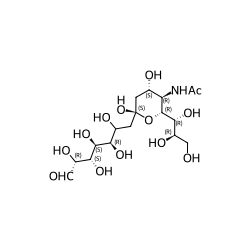 CC(=O)N[C@H]1[C@H]([C@H](O)[C@H](O)CO)O[C@](O)(CC(O)[C@@H](O)[C@H](O)[C@H](O)[C@@H](O)C=O)C[C@@H]1O